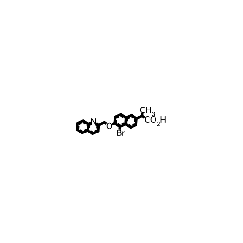 CC(C(=O)O)c1ccc2c(Br)c(OCc3ccc4ccccc4n3)ccc2c1